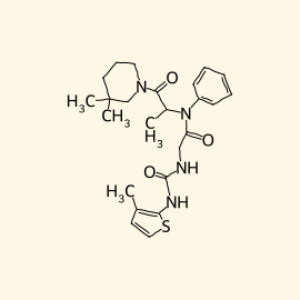 Cc1ccsc1NC(=O)NCC(=O)N(c1ccccc1)C(C)C(=O)N1CCCC(C)(C)C1